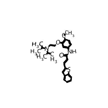 COc1ccc(NC(=O)C=Cc2cc3ccccc3s2)cc1OCCN(C(C)C)C(C)C